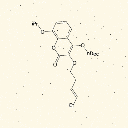 CC/C=C/CCOc1c(OCCCCCCCCCC)c2cccc(OC(C)C)c2oc1=O